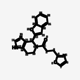 O=C(CCc1ncco1)N1CCc2[nH]cnc2[C@H]1c1cc2ccccc2o1